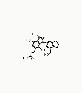 Cc1cc(CCC(=O)O)c(C)c2c1N(C)NN2c1cc(CO)c2c(c1)CCC2